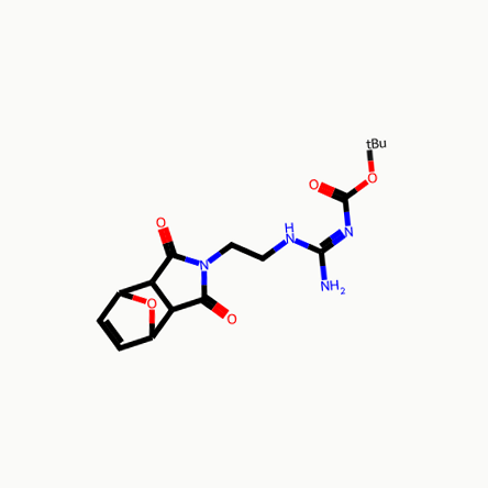 CC(C)(C)OC(=O)/N=C(/N)NCCN1C(=O)C2C3C=CC(O3)C2C1=O